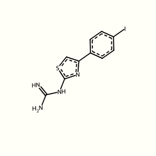 N=C(N)Nc1nc(-c2ccc(I)cc2)cs1